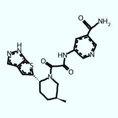 C[C@H]1CC[C@H](c2cc3cn[nH]c3s2)N(C(=O)C(=O)Nc2cncc(C(N)=O)c2)C1